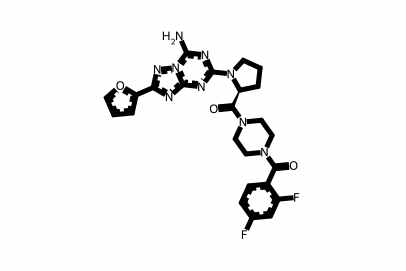 Nc1nc(N2CCC[C@H]2C(=O)N2CCN(C(=O)c3ccc(F)cc3F)CC2)nc2nc(-c3ccco3)nn12